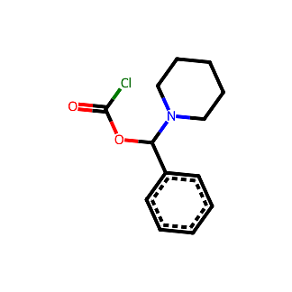 O=C(Cl)OC(c1ccccc1)N1CCCCC1